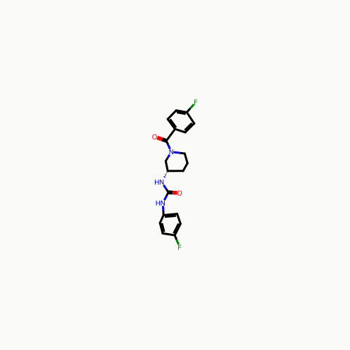 O=C(Nc1ccc(F)cc1)N[C@H]1CCCN(C(=O)c2ccc(F)cc2)C1